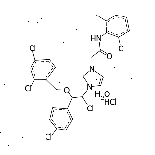 Cc1cccc(Cl)c1NC(=O)CN1C=CN(C(Cl)C(OCc2ccc(Cl)cc2Cl)c2ccc(Cl)cc2)C1.Cl.O